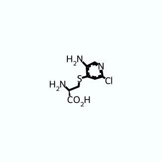 Nc1cnc(Cl)cc1SC[C@H](N)C(=O)O